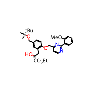 CCOC(=O)[C@H](O)Cc1cc(CO[Si](C)(C)C(C)(C)C)ccc1OCc1ccnc(-c2ccccc2OC)n1